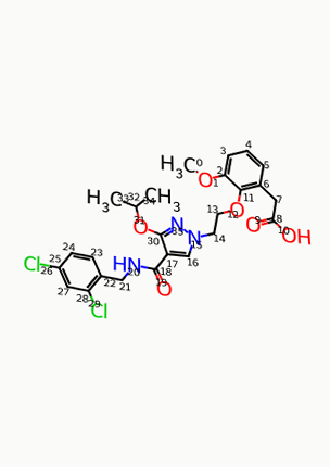 COc1cccc(CC(=O)O)c1OCCn1cc(C(=O)NCc2ccc(Cl)cc2Cl)c(OC(C)C)n1